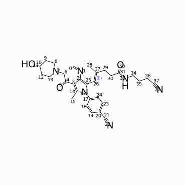 C=Nc1c(C(=O)CN2CCC(O)CC2)c(C)n(-c2ccc(C#N)cc2)c1/C=C(\C)CCC(=O)NCCCC#N